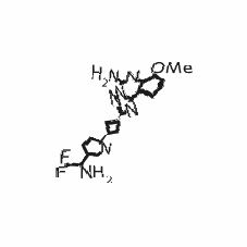 COc1cccc2c1nc(N)n1nc([C@H]3C[C@H](c4ccc([C@H](N)C(F)F)cn4)C3)nc21